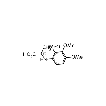 COc1ccc(N[C@@H](C)C(=O)O)c(OC)c1OC